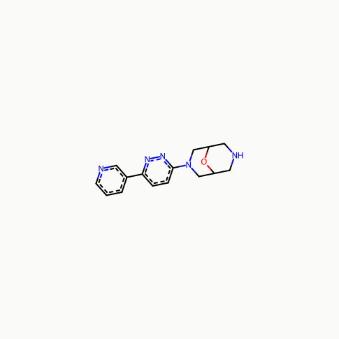 c1cncc(-c2ccc(N3CC4CNCC(C3)O4)nn2)c1